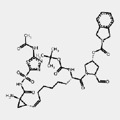 CC(=O)Nc1nnc(S(=O)(=O)NC(=O)[C@@]2(N)C[C@H]2/C=C\CCCCC[C@H](NC(=O)OC(C)(C)C)C(=O)N2C[C@H](OC(=O)N3Cc4ccccc4C3)C[C@H]2C=O)s1